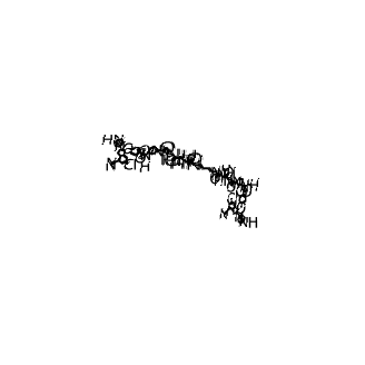 C[C@@H]1CN([C@H]2Cc3c(C#N)cc(Cl)cc3[C@@H]2Oc2ccc(S(=O)(=O)N[C@H]3CCN(C(=O)CNC(=O)CNC(=O)NCCCCNC(=O)NCC(=O)NCC(=O)N4CC[C@H](NS(=O)(=O)c5ccc(O[C@H]6c7cc(Cl)cc(C#N)c7C[C@@H]6N6CCN[C@H](C)C6)cc5)C4)C3)cc2)CCN1